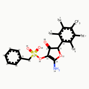 [2H]c1c([2H])c(C(F)(F)F)c([2H])c([2H])c1C1OC(N)=C(OS(=O)(=O)Cc2ccccc2)C1=O